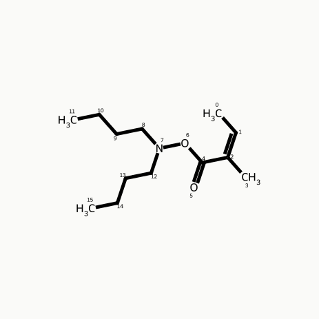 CC=C(C)C(=O)ON(CCCC)CCCC